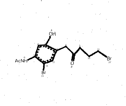 CC(=O)Nc1cc(O)c(CC(=O)CCCBr)cc1Br